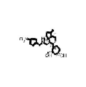 C=C1CC[C@H]2[C@H](CNCc3ccc([N+](=O)[O-])cc3)[C@@H]([C@@]3(C)CC[C@H](O)C[C@@H]3CO)CC[C@]12C